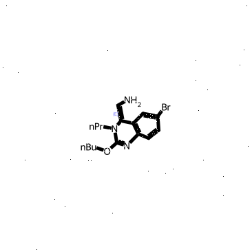 CCCCOC1=Nc2ccc(Br)cc2/C(=C\N)N1CCC